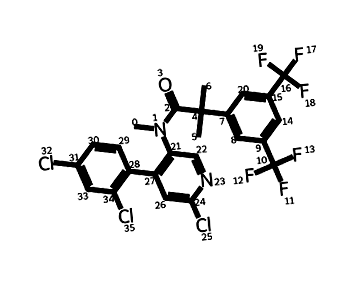 CN(C(=O)C(C)(C)c1cc(C(F)(F)F)cc(C(F)(F)F)c1)c1cnc(Cl)cc1-c1ccc(Cl)cc1Cl